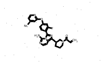 C=CC(=O)N1CCCC(c2nc(-c3ccc(Oc4cc(C#N)ccn4)cc3F)n3c(N)nccc23)C1